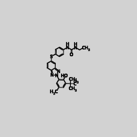 CCNC(=O)Nc1ccc(Sc2ccc3nn(-c4cc(C)cc(C(C)(C)C)c4O)nc3c2)cc1